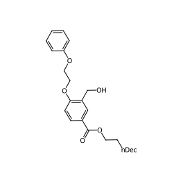 CCCCCCCCCCCCOC(=O)c1ccc(OCCOc2ccccc2)c(CO)c1